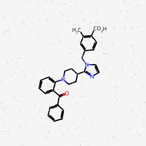 Cc1cc(Cn2ccnc2C2CCN(c3ccccc3C(=O)c3ccccc3)CC2)ccc1C(=O)O